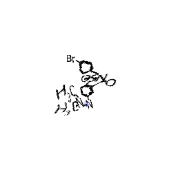 CCN(C)/C=N\c1ccc2c(c1)C(=O)N=S2(=O)Cc1ccc(Br)cc1